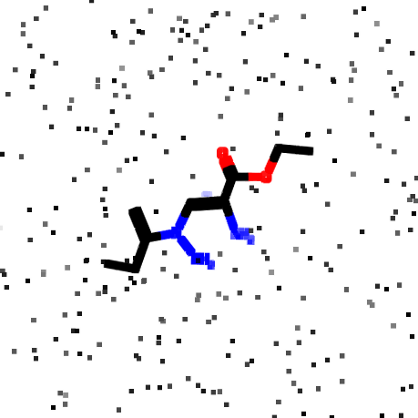 C=C(CC)N(N)/C=C(\N)C(=O)OCC